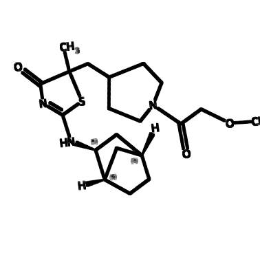 COCC(=O)N1CCC(CC2(C)SC(N[C@H]3C[C@@H]4CC[C@H]3C4)=NC2=O)CC1